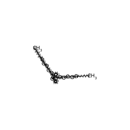 CCCCCCCCCCOCCOCCOCCOCCOCCOC(OCCOCCOCCOCCOCCOCCCCCCCCCC)(C(=O)c1ccccc1)c1ccccc1